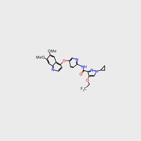 COc1cc2nccc(Oc3ccc(NC(=O)c4nn(C5CC5)cc4OCC(F)(F)F)nc3)c2cc1OC